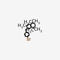 Cc1cc2c(cc1Cc1ccc(Br)cc1)C(C)(C)CCC2(C)C